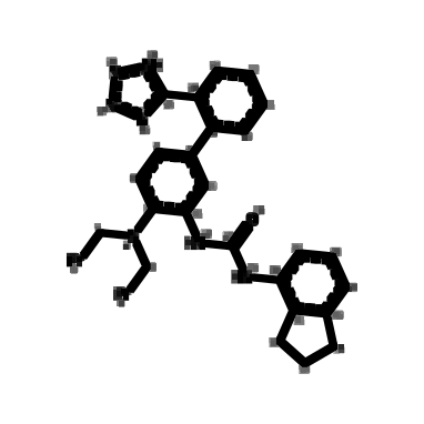 CC(C)CN(CC(C)C)c1ccc(-c2ccccc2-c2nnn[nH]2)cc1NC(=O)Nc1cccc2c1CCC2